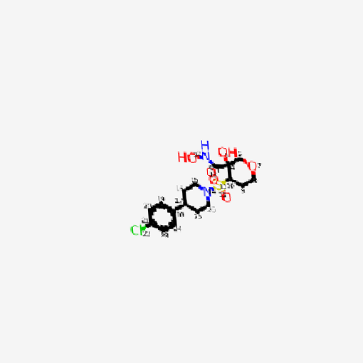 O=C(NO)C1(O)COCCC1S(=O)(=O)N1CCC(c2ccc(Cl)cc2)CC1